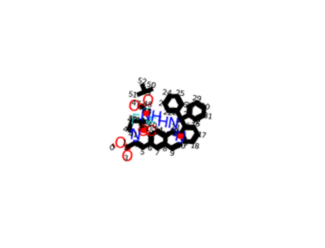 COC(=O)C(=Cc1cc2ccnc(NC(c3ccccc3)(c3ccccc3)c3ccccc3)c2cc1OC(F)(F)F)N1CCC(NC(=O)OC(C)(C)C)C1=O